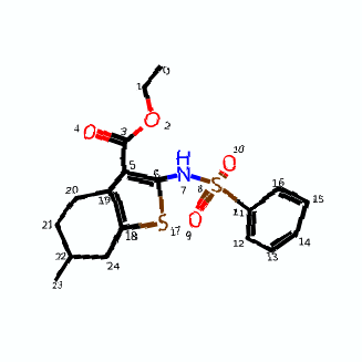 CCOC(=O)c1c(NS(=O)(=O)c2ccccc2)sc2c1CCC(C)C2